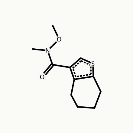 CON(C)C(=O)c1csc2c1CCCC2